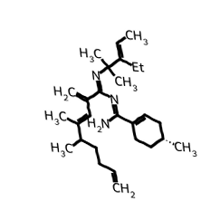 C=CCCC(C)/C(C)=C/C(=C)C(/N=C(\N)C1=CC[C@H](C)CC1)=N/C(C)(C)/C(=C/C)CC